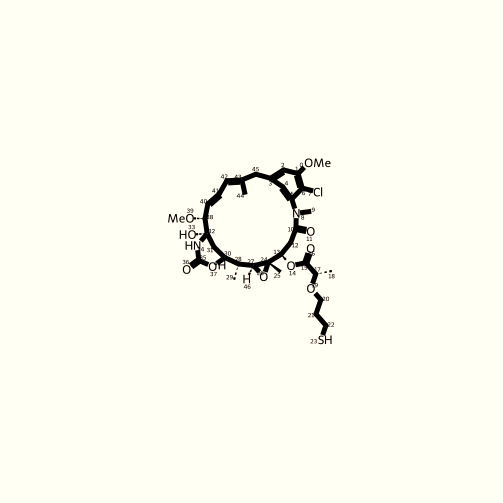 COc1cc2cc(c1Cl)N(C)C(=O)C[C@H](OC(=O)[C@H](C)OCCCS)[C@]1(C)O[C@H]1[C@H](C)[C@@H]1C[C@@](O)(NC(=O)O1)[C@H](OC)/C=C/C=C(\C)C2